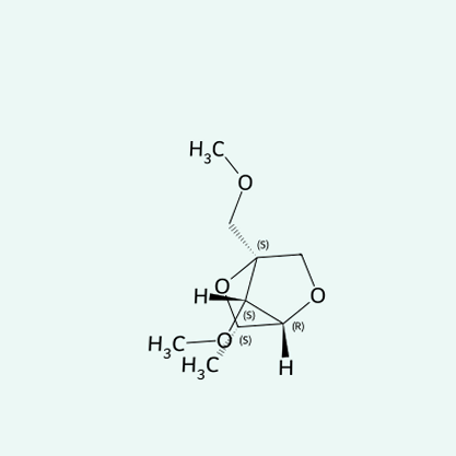 COC[C@@]12CO[C@H]([C@H](C)O1)[C@@H]2OC